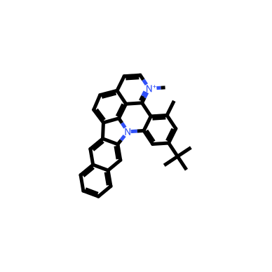 Cc1cc(C(C)(C)C)cc2c1c1c3c(ccc4c5cc6ccccc6cc5n2c43)cc[n+]1C